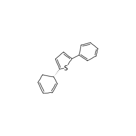 C1=CC[C@H](c2ccc(-c3ccccc3)s2)C=C1